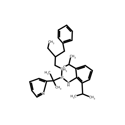 CCC(C[O][Zr]([NH]c1c(C(C)C)cccc1C(C)C)[C](C)(C)c1ccccn1)Cc1ccccc1